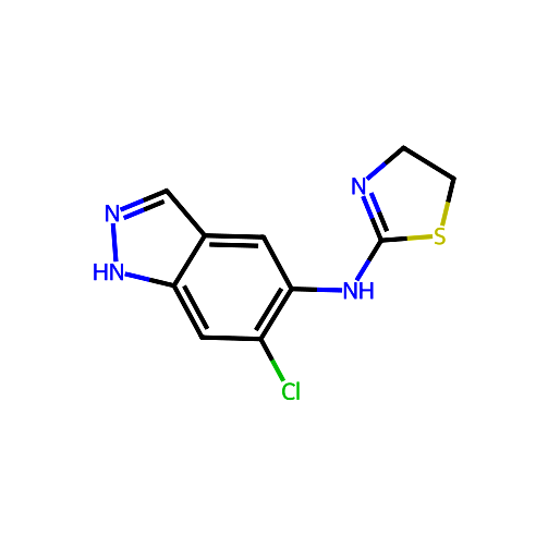 Clc1cc2[nH]ncc2cc1NC1=NCCS1